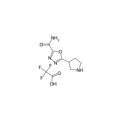 NC(=O)c1nnc(C2CCNC2)o1.O=C(O)C(F)(F)F